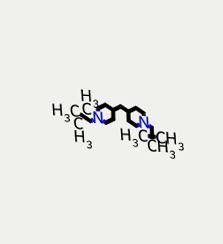 CC(C)(C)CN1CCC(CC2CCN(CC(C)(C)C)CC2)CC1